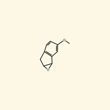 COc1ccc2c(c1)C1OC1C2